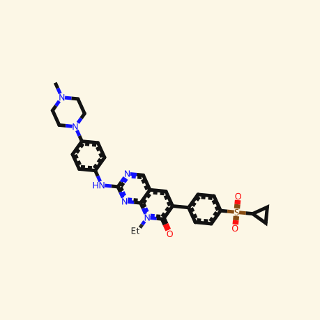 CCn1c(=O)c(-c2ccc(S(=O)(=O)C3CC3)cc2)cc2cnc(Nc3ccc(N4CCN(C)CC4)cc3)nc21